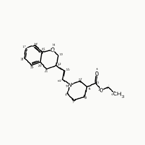 CCOC(=O)C1CCCN(CCC2COc3ccccc3C2)C1